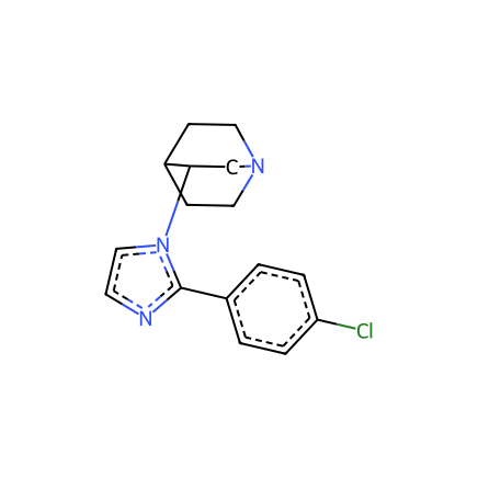 Clc1ccc(-c2nccn2C2CN3CCC2CC3)cc1